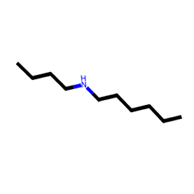 CCCCC[CH]NCCCC